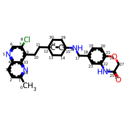 Cc1ccc2ncc(Cl)c(CCC34CCC(NCc5ccc6c(c5)NC(=O)CO6)(CC3)CC4)c2n1